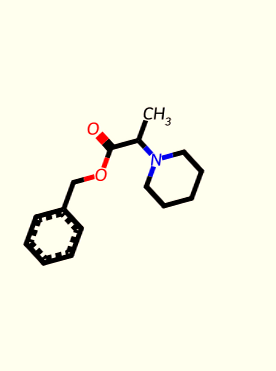 CC(C(=O)OCc1ccccc1)N1CCCCC1